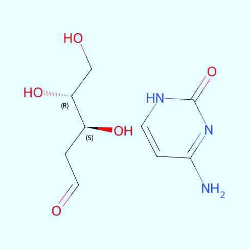 Nc1cc[nH]c(=O)n1.O=CC[C@H](O)[C@H](O)CO